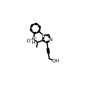 CC1c2c(C#CCO)ncn2-c2ccccc2[NH+]1[O-]